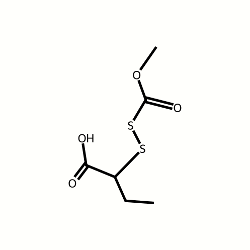 CCC(SSC(=O)OC)C(=O)O